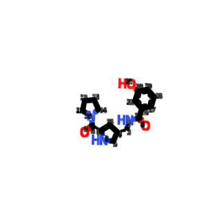 O=C(NC[C@@H]1CN[C@H](C(=O)N2CCCC2)C1)c1cccc(O)c1